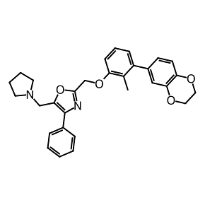 Cc1c(OCc2nc(-c3ccccc3)c(CN3CCCC3)o2)cccc1-c1ccc2c(c1)OCCO2